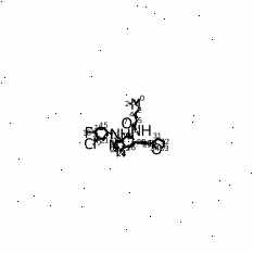 CN(C)CC=CC(=O)Nc1cc2c(Nc3ccc(F)c(Cl)c3)ncnc2cc1C#C[C@H]1CCCO1